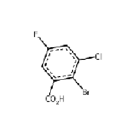 O=C(O)c1cc(F)cc(Cl)c1Br